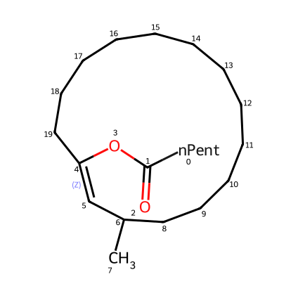 CCCCCC(=O)O/C1=C\C(C)CCCCCCCCCCCC1